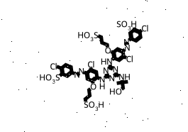 CC(C)(CO)Nc1nc(Nc2cc(Cl)c(N=Nc3ccc(Cl)c(S(=O)(=O)O)c3)cc2OCCCS(=O)(=O)O)nc(Nc2cc(Cl)c(N=Nc3ccc(Cl)c(S(=O)(=O)O)c3)cc2OCCCS(=O)(=O)O)n1